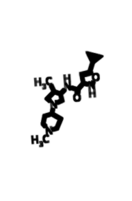 CC1CN(C2CCN(C)CC2)CC1NC(=O)C1C=C(C2CC2)ON1